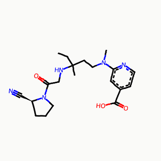 CCC(C)(CCN(C)c1cc(C(=O)O)ccn1)NCC(=O)N1CCC[C@H]1C#N